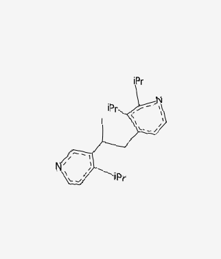 CC(C)c1ccncc1C(C)Cc1ccnc(C(C)C)c1C(C)C